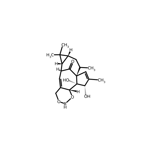 CC1=C[C@@]23C(=O)[C@@H](C=C4COBO[C@H]4[C@]2(O)[C@H]1O)[C@H]1[C@@H](CC3C)C1(C)C